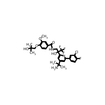 COc1cc(C(=O)NCC(O)(c2cc(C(C)(C)N)cc(-c3ccc(F)c(Cl)c3)n2)C(F)(F)F)ccc1OCC(C)(C)O